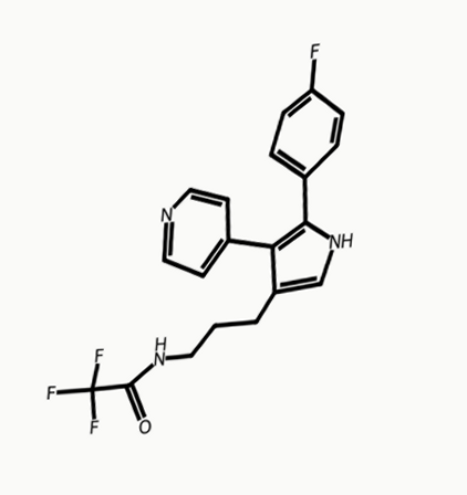 O=C(NCCCc1c[nH]c(-c2ccc(F)cc2)c1-c1ccncc1)C(F)(F)F